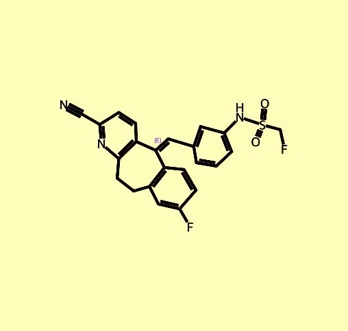 N#Cc1ccc2c(n1)CCc1cc(F)ccc1/C2=C\c1cccc(NS(=O)(=O)CF)c1